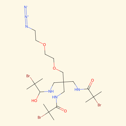 CC(C)(Br)C(=O)NCC(CNC(=O)C(C)(C)Br)(CNC(O)C(C)(C)Br)COCCOCCN=[N+]=[N-]